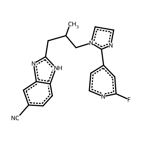 CC(Cc1nc2cc(C#N)ccc2[nH]1)Cn1ccnc1-c1ccnc(F)c1